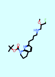 COC(CF)CNCCCCc1ccc2c(n1)N(C(=O)OC(C)(C)C)CCC2